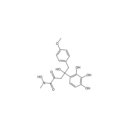 COc1ccc(CC(O)(CC(=O)C(=O)N(C)O)c2ccc(O)c(O)c2O)cc1